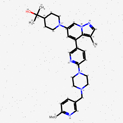 COc1ccc(CN2CCN(c3ccc(-c4cc(N5CCC(C(C)(C)O)CC5)cn5ncc(C#N)c45)cn3)CC2)cn1